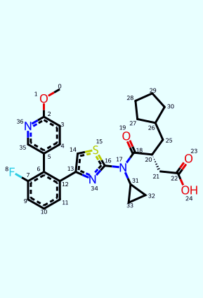 COc1ccc(-c2c(F)cccc2-c2csc(N(C(=O)[C@@H](CC(=O)O)CC3CCCC3)C3CC3)n2)cn1